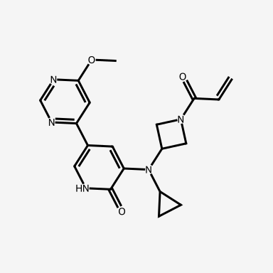 C=CC(=O)N1CC(N(c2cc(-c3cc(OC)ncn3)c[nH]c2=O)C2CC2)C1